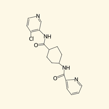 O=C(NC1CCC(C(=O)Nc2cnccc2Cl)CC1)c1ccccn1